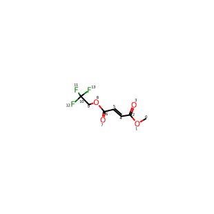 COC(=O)/C=C/C(=O)OCC(F)(F)F